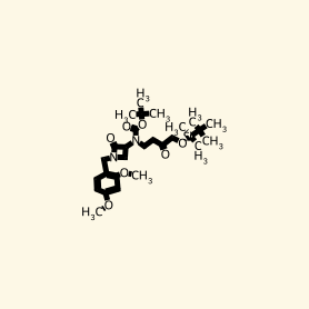 COc1ccc(CN2CC(N(CCC(=O)CO[Si](C)(C)C(C)(C)C)C(=O)OC(C)(C)C)C2=O)c(OC)c1